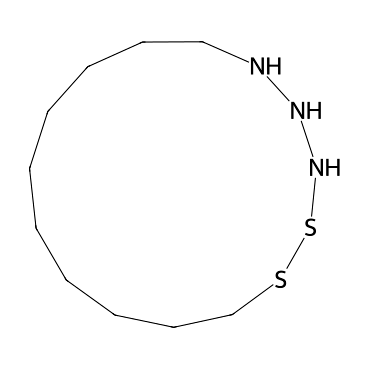 C1CCCCCSSNNNCCCC1